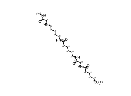 CCNC(=O)CNCCCCCNC(=O)CCCCCNC(=O)CNC(=O)CCCCC(=O)O